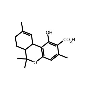 CC1=CC2c3c(cc(C)c(C(=O)O)c3O)OC(C)(C)C2CC1